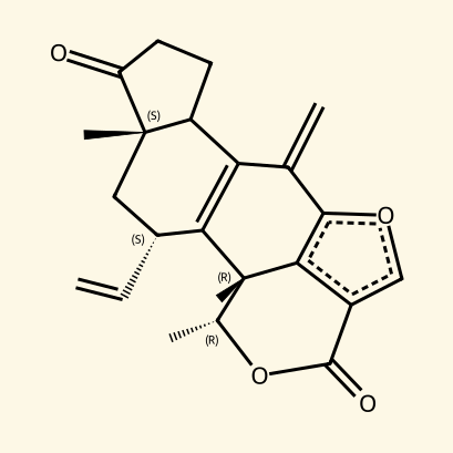 C=C[C@@H]1C[C@]2(C)C(=O)CCC2C2=C1[C@]1(C)c3c(coc3C2=C)C(=O)O[C@@H]1C